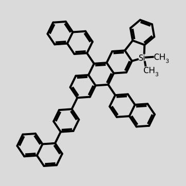 C[Si]1(C)c2ccccc2-c2cc3c(-c4ccc5ccccc5c4)c4ccc(-c5ccc(-c6cccc7ccccc67)cc5)cc4c(-c4ccc5ccccc5c4)c3cc21